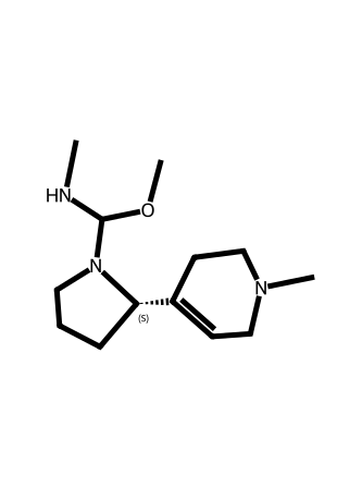 CNC(OC)N1CCC[C@H]1C1=CCN(C)CC1